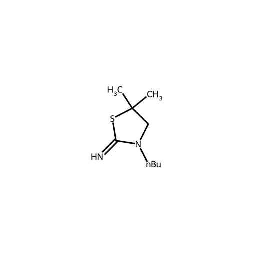 CCCCN1CC(C)(C)SC1=N